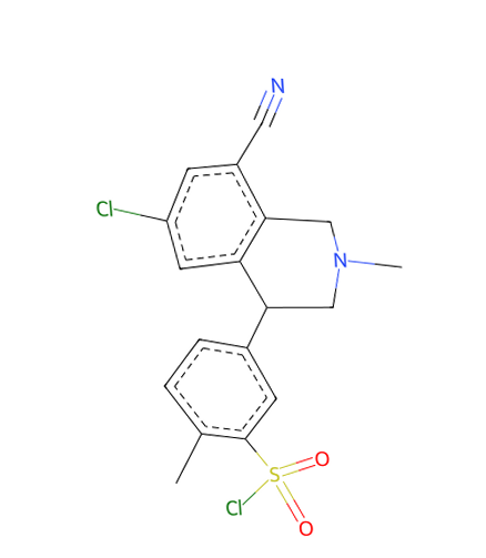 Cc1ccc(C2CN(C)Cc3c(C#N)cc(Cl)cc32)cc1S(=O)(=O)Cl